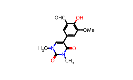 COc1cc(-c2cn(C)c(=O)n(C)c2=O)cc(C=O)c1O